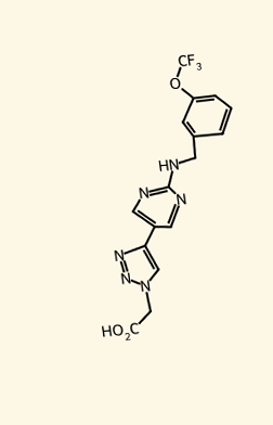 O=C(O)Cn1cc(-c2cnc(NCc3cccc(OC(F)(F)F)c3)nc2)nn1